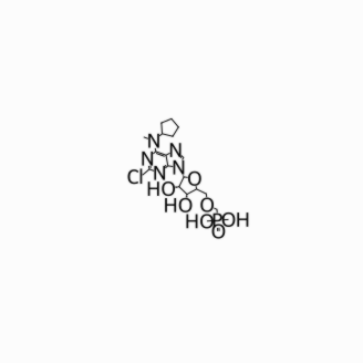 CN(c1nc(Cl)nc2c1ncn2[C@@H]1OC(COCP(=O)(O)O)[C@@H](O)[C@H]1O)C1CCCC1